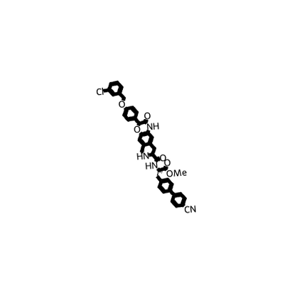 COC(=O)[C@H](Cc1ccc(-c2ccc(C#N)cc2)cc1)NC(=O)C1Cc2cc3c(cc2CN1)OC(c1ccc(OCc2cccc(Cl)c2)cc1)C(=O)N3